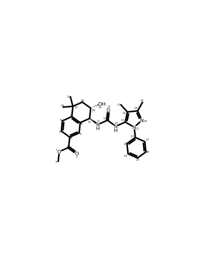 COC(=O)c1ccc2c(c1)[C@H](NC(=O)Nc1c(C)c(C)nn1-c1ccccc1)[C@@H](O)CC2(C)C